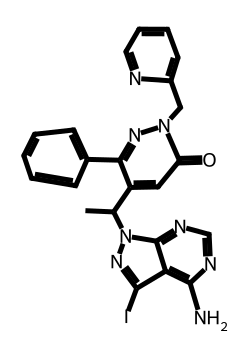 CC(c1cc(=O)n(Cc2ccccn2)nc1-c1ccccc1)n1nc(I)c2c(N)ncnc21